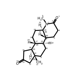 CN1C(=O)CC[C@@H]2[C@H]3CC[C@]4(C)CC(=O)C[C@H]4[C@@H]3CC[C@H]21